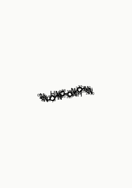 CN1CCN(Cc2ccc(-c3nc4cc(-c5ccc6[nH]c(-c7ccc(CN8CCN(C)CC8)cc7)nc6c5)ccc4[nH]3)cc2)CC1